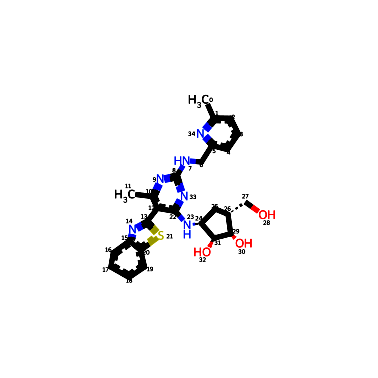 Cc1cccc(CNc2nc(C)c(-c3nc4ccccc4s3)c(N[C@@H]3C[C@H](CO)[C@@H](O)[C@H]3O)n2)n1